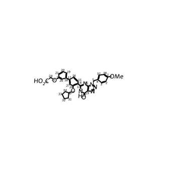 COc1ccc(Cn2nnc3c(=O)[nH]c(-c4ccc(-c5cccc(OCC(=O)O)c5)cc4OC4CCCC4)nc32)cc1